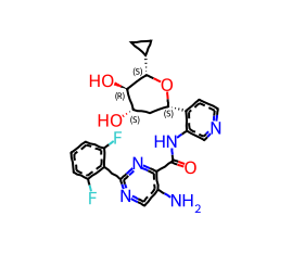 Nc1cnc(-c2c(F)cccc2F)nc1C(=O)Nc1cnccc1[C@@H]1C[C@H](O)[C@@H](O)[C@H](C2CC2)O1